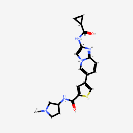 CC(=O)N1CCC(NC(=O)c2cc(-c3ccc4nc(NC(=O)C5CC5)cn4c3)cs2)C1